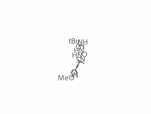 COc1ccc(C#Cc2sc(NC(=O)NC[C@H](C)C(=O)NC(C)(C)C)nc2C)cn1